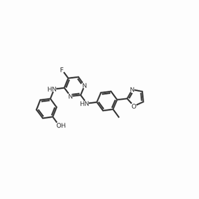 Cc1cc(Nc2ncc(F)c(Nc3cccc(O)c3)n2)ccc1-c1ncco1